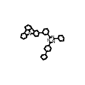 c1ccc(-c2ccc(-c3nc(-c4ccccc4)nc(-c4cccc(-c5ccc6c(c5)c5cccc7c8ccccc8n6c75)c4)n3)cc2)cc1